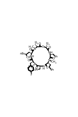 CCCC[C@H](C)C[C@@H]1NC(=O)[C@H](Cc2ccc(F)cc2)N(C)C(=O)[C@H](CC(C)C)NC(=O)[C@H](CCC(C)C)N(C)C(=O)[C@H](CC(C)C)NC(=O)[C@@H](C)OC(=O)[C@H](C)N(C)C1=O